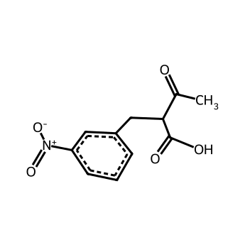 CC(=O)C(Cc1cccc([N+](=O)[O-])c1)C(=O)O